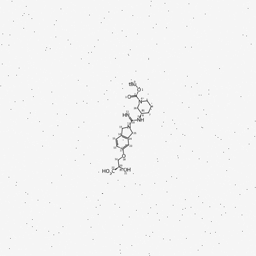 CC(C)(C)OC(=O)N1CCC[C@@H](NC(=N)N2Cc3ccc(OC[C@@H](O)C(=O)O)cc3C2)C1